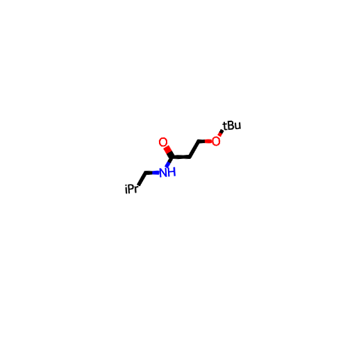 CC(C)CNC(=O)CCOC(C)(C)C